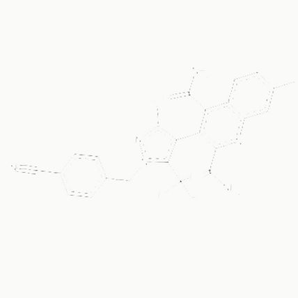 Cc1nn(Cc2ccc(C#N)cc2)c(C(F)(F)F)c1-c1c(C(N)=O)nc2cc(F)ccc2c1C(N)=O